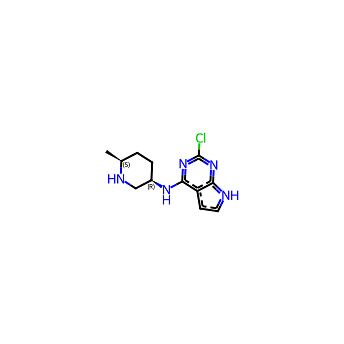 C[C@H]1CC[C@@H](Nc2nc(Cl)nc3[nH]ccc23)CN1